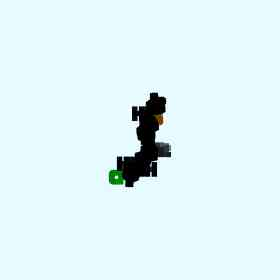 CCc1cc2cc3c(cc2cc1CC1(C)C=c2cc4c(cc2=CC1)Bc1cc(C)c(C)cc1S4)Bc1cc(Cl)c(C)cc1B3